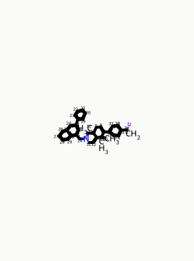 C=C(I)c1ccc(C2=CC[C@@]3(C)CN(Cc4cc(-c5ccccc5)cc5ccccc45)CC=C3C2(C)C)cc1